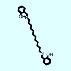 Oc1ccccc1C=NCCCCCCCCCCCCN=Cc1ccccc1O